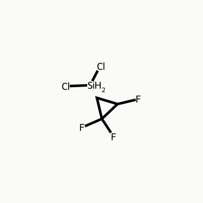 Cl[SiH2]Cl.FC1CC1(F)F